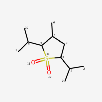 CC(C)C1CC(C)C(C(C)C)S1(=O)=O